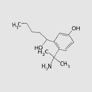 CCCCC(O)c1cc(O)ccc1C(C)(C)N